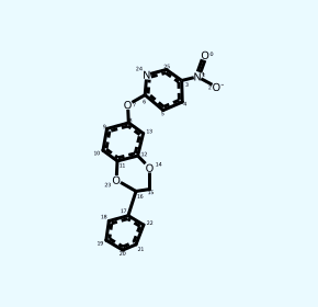 O=[N+]([O-])c1ccc(Oc2ccc3c(c2)OCC(c2ccccc2)O3)nc1